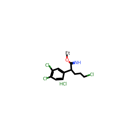 CCOC(=N)C(CCCCl)c1ccc(Cl)c(Cl)c1.Cl